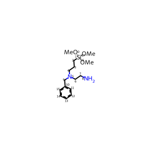 CO[Si](CCCN(CCN)Cc1ccccc1)(OC)OC